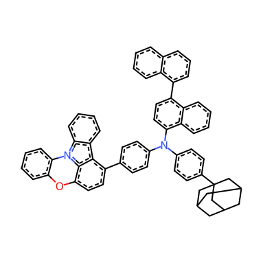 c1ccc2c(c1)Oc1ccc(-c3ccc(N(c4ccc(C56CC7CC(CC(C7)C5)C6)cc4)c4ccc(-c5cccc6ccccc56)c5ccccc45)cc3)c3c4ccccc4n-2c13